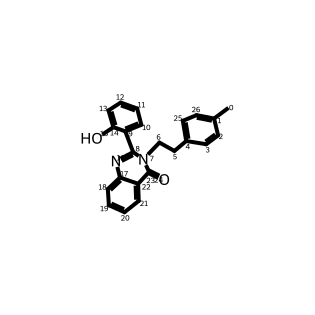 Cc1ccc(CCn2c(-c3ccccc3O)nc3ccccc3c2=O)cc1